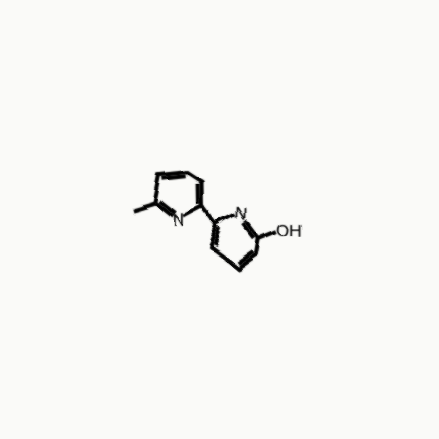 Cc1cccc(-c2cccc(O)n2)n1